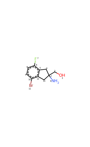 NC1(CO)Cc2c(F)ccc(Br)c2C1